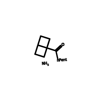 CCCCCC(=O)C12CCC1CC2.N